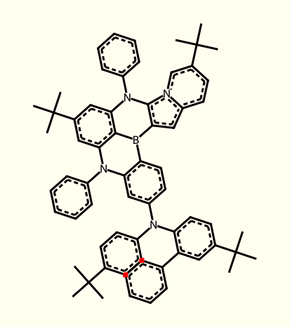 CC(C)(C)c1ccc(N(c2ccc3c(c2)N(c2ccccc2)c2cc(C(C)(C)C)cc4c2B3c2cc3ccc(C(C)(C)C)cn3c2N4c2ccccc2)c2ccc(C(C)(C)C)cc2-c2ccccc2)cc1